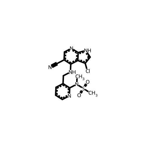 CN(c1ncccc1CNc1c(C#N)cnc2[nH]cc(Cl)c12)S(C)(=O)=O